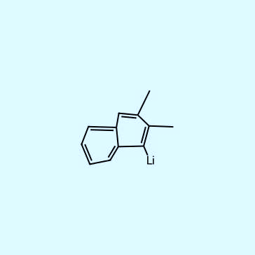 [Li][c]1c(C)c(C)cc2ccccc12